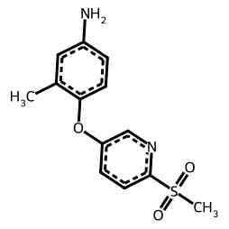 Cc1cc(N)ccc1Oc1ccc(S(C)(=O)=O)nc1